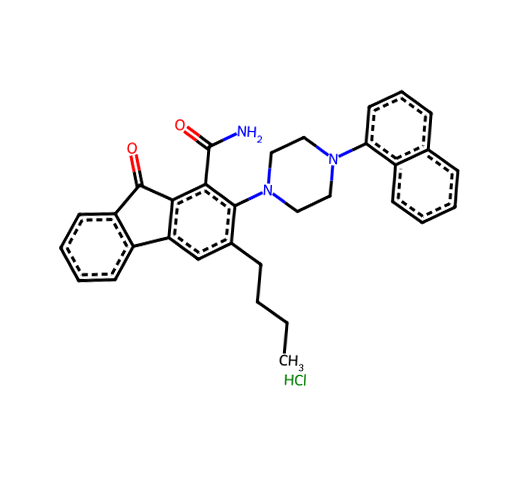 CCCCc1cc2c(c(C(N)=O)c1N1CCN(c3cccc4ccccc34)CC1)C(=O)c1ccccc1-2.Cl